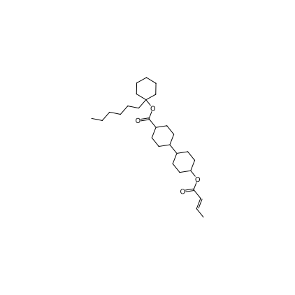 C/C=C/C(=O)OC1CCC(C2CCC(C(=O)OC3(CCCCCC)CCCCC3)CC2)CC1